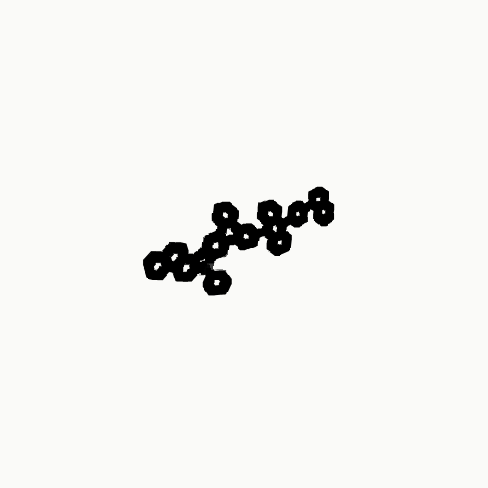 c1ccc(-n2c3cc4c5ccc(-c6c7ccccc7c(-c7ccc(-c8cccc9ccccc89)cc7)c7ccccc67)cc5c5ccccc5c4cc3c3c4ccc5ccccc5c4ccc32)cc1